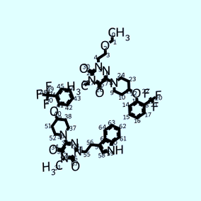 CCOCCn1nc(N2CCC(Oc3ccccc3C(F)(F)F)CC2)c(=O)n(C)c1=O.Cn1c(=O)c(N2CCC(Oc3ccccc3C(F)(F)F)CC2)nn(CCc2c[nH]c3ccccc23)c1=O